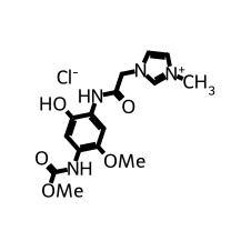 COC(=O)Nc1cc(O)c(NC(=O)Cn2cc[n+](C)c2)cc1OC.[Cl-]